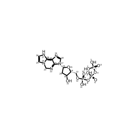 O=P(O)(O)OP(=O)(O)OP(=O)(O)OC[C@H]1O[C@@H](n2cnc3c2=NCN2C=CNC=32)C[C@@H]1O